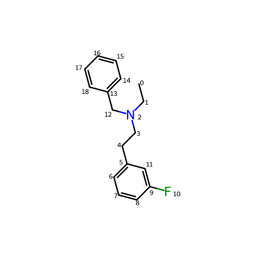 CCN(CCc1cccc(F)c1)Cc1ccccc1